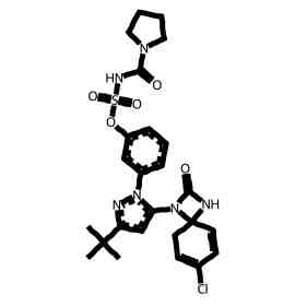 CC(C)(C)c1cc(N2C(=O)NC23C=CC(Cl)=CC3)n(-c2cccc(OS(=O)(=O)NC(=O)N3CCCC3)c2)n1